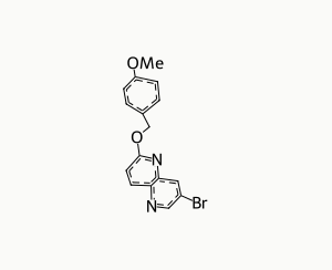 COc1ccc(COc2ccc3ncc(Br)cc3n2)cc1